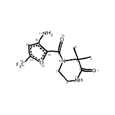 CC1(C)C(=O)NCCN1C(=O)c1oc(C(F)(F)F)cc1N